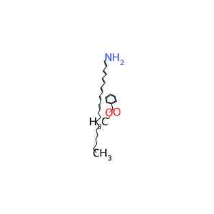 CCCCCCCCCCC=CC=CC=CC=CC=CC=CN.CCOC(=O)c1ccccc1